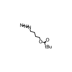 CC(C)(C)C(=O)OCCCCN=[N+]=[N-]